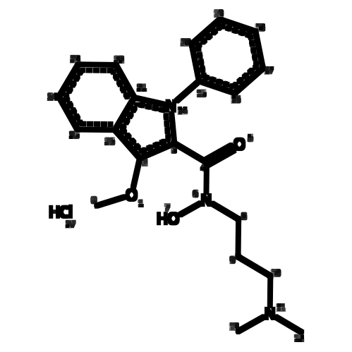 COc1c(C(=O)N(O)CCCN(C)C)n(-c2ccccc2)c2ccccc12.Cl